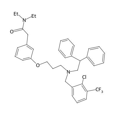 CCN(CC)C(=O)Cc1cccc(OCCCN(Cc2cccc(C(F)(F)F)c2Cl)CC(c2ccccc2)c2ccccc2)c1